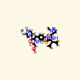 CCn1nccc1C(=O)N[C@H](C(=O)Nc1ccc([C@H](C)[C@@H](NC(=O)COC)C(=O)N2CCN(C)[C@@H](CF)C2)cc1F)C(C1CC1)C1CC1